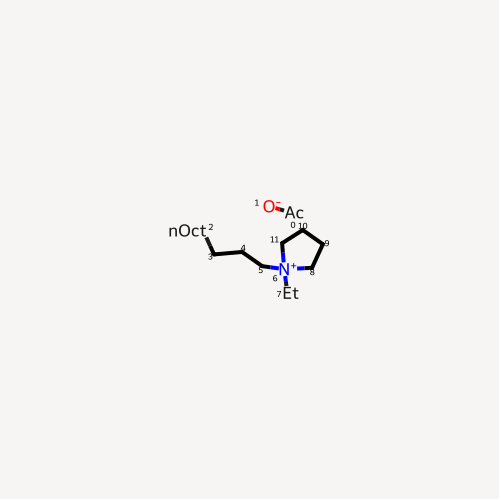 CC(=O)[O-].CCCCCCCCCCC[N+]1(CC)CCCC1